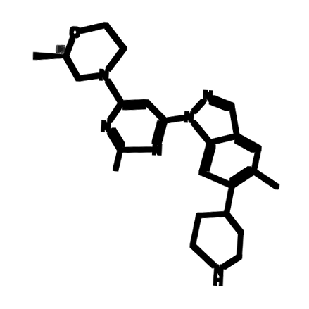 Cc1nc(N2CCO[C@H](C)C2)cc(-n2ncc3cc(C)c(C4CCNCC4)cc32)n1